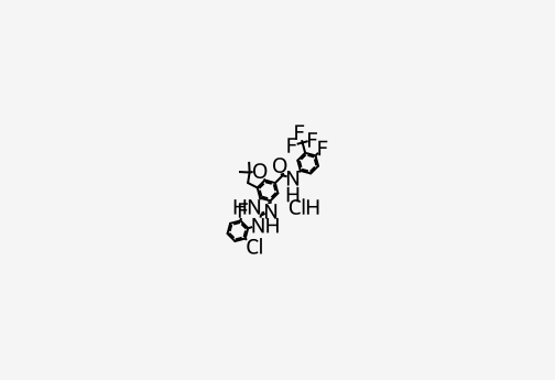 CC1(C)Cc2c(c(C(=O)Nc3ccc(F)c(C(F)(F)F)c3)cc3nc(Nc4c(F)cccc4Cl)[nH]c23)O1.Cl